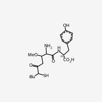 CCC(C)C(S)C(=O)CC(OC)C(N)C(=O)N[C@@H](Cc1ccc(O)cc1)C(=O)O